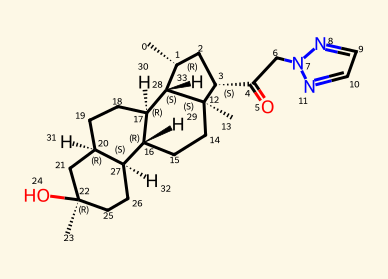 C[C@@H]1C[C@H](C(=O)Cn2nccn2)[C@@]2(C)CC[C@H]3[C@@H](CC[C@@H]4C[C@](C)(O)CC[C@@H]43)[C@H]12